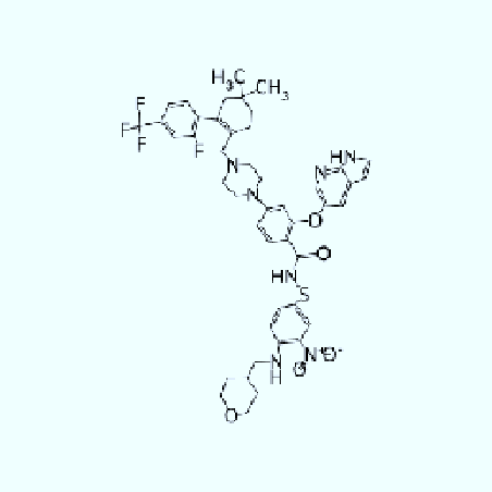 CC1(C)CCC(CN2CCN(c3ccc(C(=O)NSc4ccc(NCC5CCOCC5)c([N+](=O)[O-])c4)c(Oc4cnc5[nH]ccc5c4)c3)CC2)=C(c2ccc(C(F)(F)F)cc2F)C1